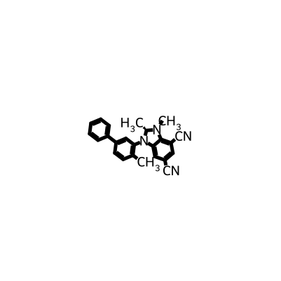 Cc1ccc(-c2ccccc2)cc1N1c2cc(C#N)cc(C#N)c2N(C)[C@@H]1C